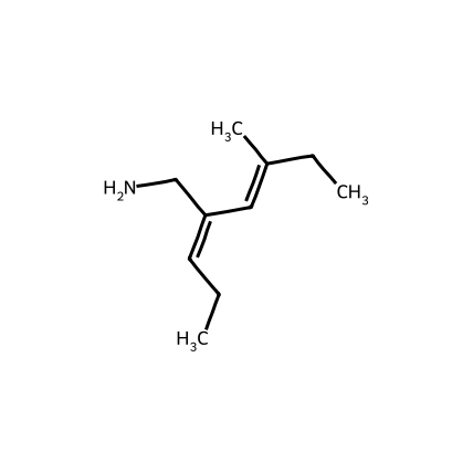 CC/C=C(\C=C(/C)CC)CN